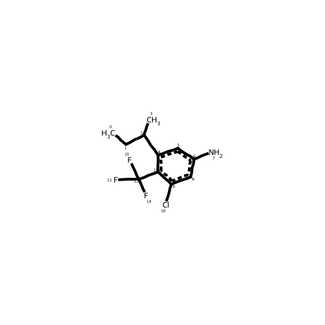 CCC(C)c1cc(N)cc(Cl)c1C(F)(F)F